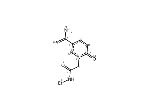 CCNC(=O)Cn1nc(C(N)=S)ccc1=O